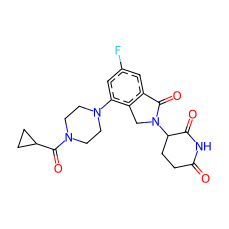 O=C1CCC(N2Cc3c(cc(F)cc3N3CCN(C(=O)C4CC4)CC3)C2=O)C(=O)N1